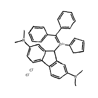 CN(C)c1ccc2c(c1)[CH]([Zr+2]([C]1=CC=CC1)=[C](c1ccccc1)c1ccccc1)c1cc(N(C)C)ccc1-2.[Cl-].[Cl-]